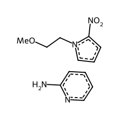 COCCn1cccc1[N+](=O)[O-].Nc1ccccn1